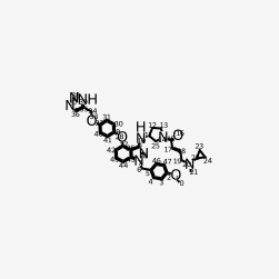 COc1ccc(Cn2nc(N[C@@H]3CCN(C(=O)/C=C/CN(C)C4CC4)C3)c3c(Oc4ccc(OCc5cnn[nH]5)cc4)cccc32)cc1